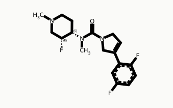 CN1CC[C@H](N(C)C(=O)N2CC=C(c3cc(F)ccc3F)C2)[C@H](F)C1